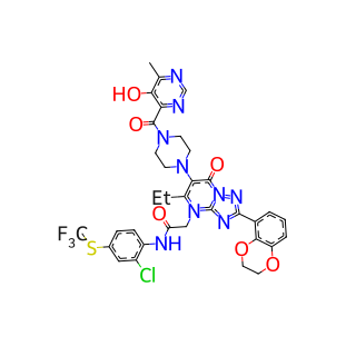 CCc1c(N2CCN(C(=O)c3ncnc(C)c3O)CC2)c(=O)n2nc(-c3cccc4c3OCCO4)nc2n1CC(=O)Nc1ccc(SC(F)(F)F)cc1Cl